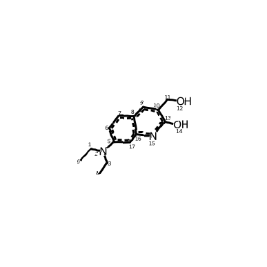 CCN(CC)c1ccc2cc(CO)c(O)nc2c1